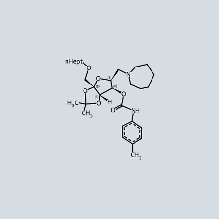 CCCCCCCOC[C@@]12O[C@@H](CN3CCCCCC3)[C@@H](OC(=O)Nc3ccc(C)cc3)[C@@H]1OC(C)(C)O2